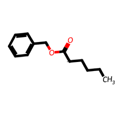 CCCC[CH]C(=O)OCc1ccccc1